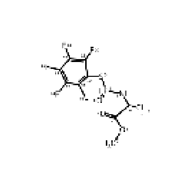 COC(=O)[C@H](C)N[PH](=O)Sc1c(F)c(F)c(F)c(F)c1F